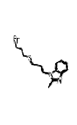 Cc1nc2ccccc2n1CCCSCCCBr